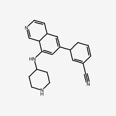 N#CC1=CC(C2=CC3C=CN=CC3C(NC3CCNCC3)=C2)CC=C1